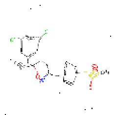 CS(=O)(=O)c1ccc(C2=NOC(c3cc(Cl)cc(Cl)c3)(C(F)(F)F)C2)cc1